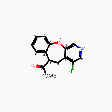 COC(=O)C1Cc2c(F)cncc2Oc2ccccc21